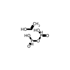 C=CO.O=[PH](O)O[PH](=O)O